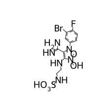 N=C(N)C1=C(NCCNS(=O)(=O)O)N(O)ON1c1ccc(F)c(Br)c1